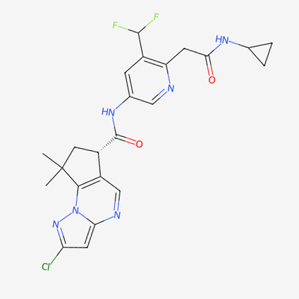 CC1(C)C[C@H](C(=O)Nc2cnc(CC(=O)NC3CC3)c(C(F)F)c2)c2cnc3cc(Cl)nn3c21